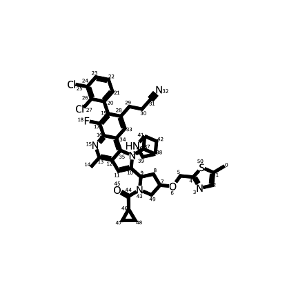 Cc1cnc(COC2CC(c3cc4c(C)nc5c(F)c(-c6cccc(Cl)c6Cl)c(CCC#N)cc5c4n3C3C4CNC3C4)N(C(=O)C3CC3)C2)s1